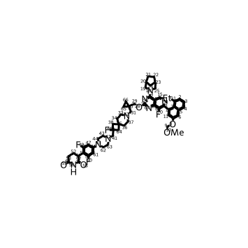 CCc1cccc2cc(OCOC)cc(-c3ncc4c(N5CC6CCC(C6)C5)nc(OCC5(CN6CCC7(CC6)CC(F)(CN6CCN(c8cc(F)c(C9CCC(=O)NC9=O)c(F)c8)CC6)C7)CC5)nc4c3F)c12